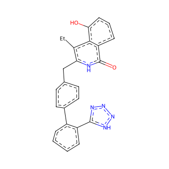 CCc1c(Cc2ccc(-c3ccccc3-c3nnn[nH]3)cc2)[nH]c(=O)c2cccc(O)c12